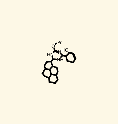 CC(C)OC1=NC(C2CCC=CC2O)NC(C2CCC3CCC4CCCC5CCC2C3C45)N1